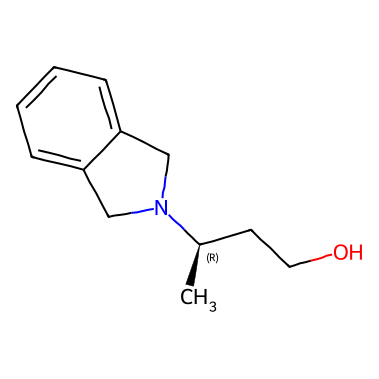 C[C@H](CCO)N1Cc2ccccc2C1